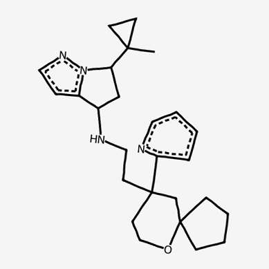 CC1(C2CC(NCCC3(c4ccccn4)CCOC4(CCCC4)C3)c3ccnn32)CC1